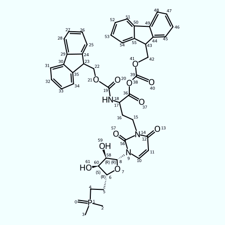 C=P(C)(C)CC[C@H]1O[C@@H](n2ccc(=O)n(CCC(NC(=O)OCC3c4ccccc4-c4ccccc43)C(=O)OC(=O)OCC3c4ccccc4-c4ccccc43)c2=O)[C@H](O)[C@@H]1O